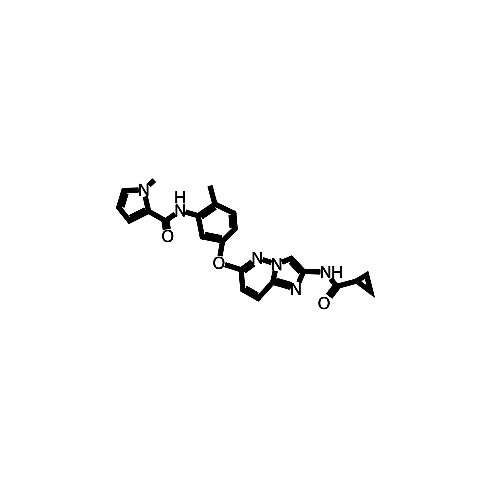 Cc1ccc(Oc2ccc3nc(NC(=O)C4CC4)cn3n2)cc1NC(=O)c1cccn1C